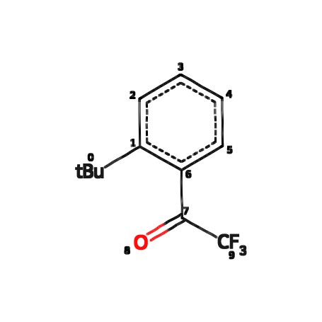 CC(C)(C)c1ccccc1C(=O)C(F)(F)F